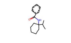 CC(C)C1(NC(=O)c2ccccc2)CCCCC1